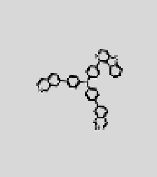 c1ccc2c(c1)sc1ccnc(-c3ccc(N(c4ccc(-c5ccc6ccncc6c5)cc4)c4ccc(-c5ccc6ccncc6c5)cc4)cc3)c12